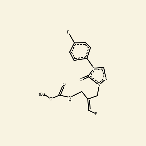 CC(C)(C)OC(=O)NC/C(=C/F)Cn1ncn(-c2ccc(F)cc2)c1=O